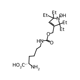 CCC1(CC)C=C(COC(=O)NCCCC[C@H](N)C(=O)O)C(CC)(CC)N1O